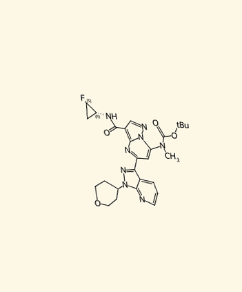 CN(C(=O)OC(C)(C)C)c1cc(-c2nn(C3CCOCC3)c3ncccc23)nc2c(C(=O)N[C@@H]3C[C@@H]3F)cnn12